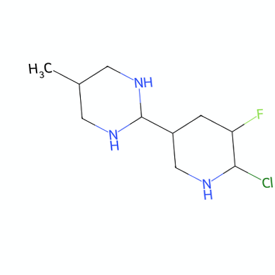 CC1CNC(C2CNC(Cl)C(F)C2)NC1